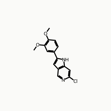 COc1ccc(-c2cc3cnc(Cl)cc3[nH]2)cc1OC